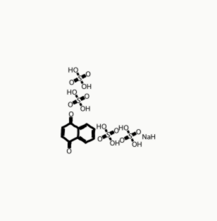 O=C1C=CC(=O)c2ccccc21.O=S(=O)(O)O.O=S(=O)(O)O.O=S(=O)(O)O.O=S(=O)(O)O.[NaH]